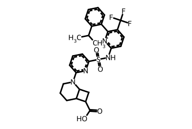 CC(C)c1ccccc1-c1nc(NS(=O)(=O)c2cccc(N3CCCC4C(C(=O)O)CC43)n2)ccc1C(F)(F)F